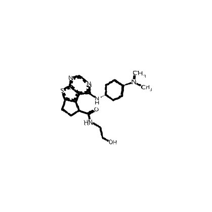 CN(C)[C@H]1CC[C@H](Nc2ncnc3sc4c(c23)C(C(=O)NCCO)CC4)CC1